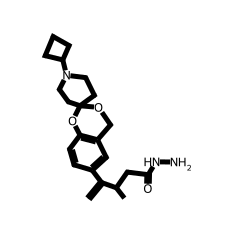 C=C(c1ccc2c(c1)COC1(CCN(C3CCC3)CC1)O2)C(C)CC(=O)NN